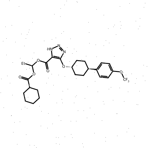 CCC(OC(=O)c1[nH]nnc1O[C@H]1CC[C@H](c2ccc(OC(F)(F)F)cc2)CC1)OC(=O)C1CCCCC1